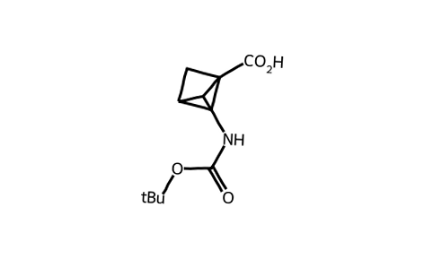 CC(C)(C)OC(=O)NC1C2CC1(C(=O)O)C2